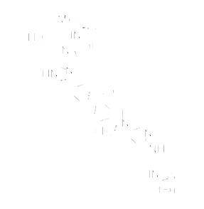 COC(=O)N[C@H](C(=O)N1C[C@@H](C)C[C@H]1c1nc(-c2ccc(-c3cc(Cl)c(C(=O)Nc4ccc(NCCNC(=O)C(C)(C)C)nc4)cc3OC(F)(F)F)cc2)c[nH]1)C(C)C